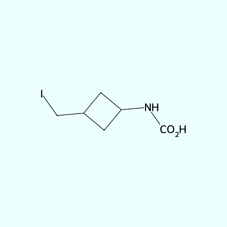 O=C(O)NC1CC(CI)C1